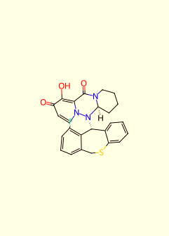 O=C1c2c(O)c(=O)ccn2N([C@@H]2c3ccccc3SCc3cccc(F)c32)[C@@H]2CCCCN12